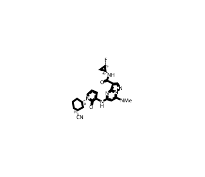 CNc1cc(Nc2cccn([C@H]3CCC[C@@H](C#N)C3)c2=O)nc2c(C(=O)N[C@@H]3C[C@@H]3F)cnn12